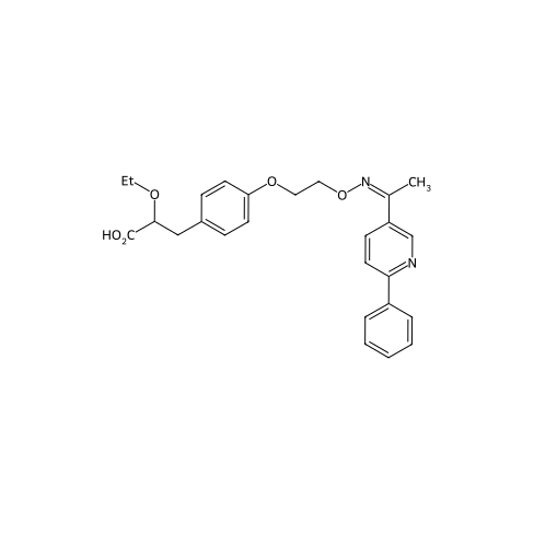 CCOC(Cc1ccc(OCCO/N=C(/C)c2ccc(-c3ccccc3)nc2)cc1)C(=O)O